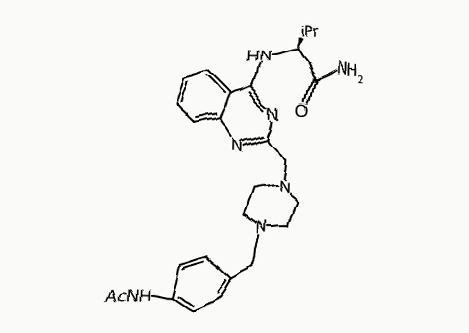 CC(=O)Nc1ccc(CN2CCN(Cc3nc(N[C@H](C(N)=O)C(C)C)c4ccccc4n3)CC2)cc1